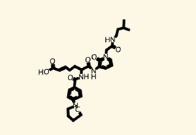 CC(C)CCNC(=O)Cn1cccc(NC(=O)C(CCC=CC(=O)O)NC(=O)c2ccc(N3CCCCC3)cc2)c1=O